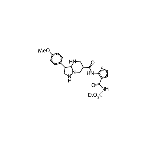 CCOC(=O)NC(=O)c1ccsc1NC(=O)C1CNC2C(c3ccc(OC)cc3)CNN2C1